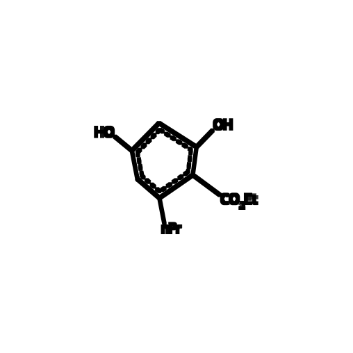 CCCc1cc(O)cc(O)c1C(=O)OCC